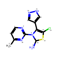 Cc1ccnc(N2C(c3cn[nH]c3)=C(Cl)SC2N)n1